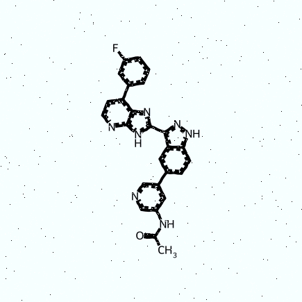 CC(=O)Nc1cncc(-c2ccc3[nH]nc(-c4nc5c(-c6cccc(F)c6)ccnc5[nH]4)c3c2)c1